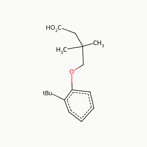 CC(C)(COc1ccccc1C(C)(C)C)CC(=O)O